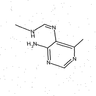 CN/C=N\c1c(C)ncnc1N